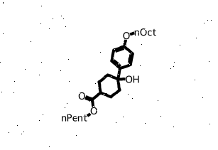 CCCCCCCCOc1ccc(C2(O)CCC(C(=O)OCCCCC)CC2)cc1